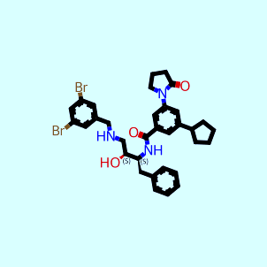 O=C(N[C@@H](Cc1ccccc1)[C@@H](O)CNCc1cc(Br)cc(Br)c1)c1cc(C2CCCC2)cc(N2CCCC2=O)c1